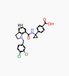 O=C(O)c1ccc(C2(NC(=O)c3cccc4c3N(Cc3ccc(Cl)c(Cl)c3)CC4)CC2)cc1.[KH]